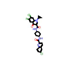 O=C(N[C@H]1CC[C@H](NC(=O)c2cn(C3CC3)c3cc(Cl)c(F)cc3c2=O)CC1)c1ccc2cc(Cl)ccc2n1